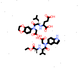 CC(C)C[C@H](NC(CCC(=O)O)C(=O)O)C(=O)N(CC(=O)O)c1ccc2c(c1)OCCO2.CCOC(=O)[C@H](C)N[C@H](C(=O)N(CC(=O)O)c1ccc2[nH]ccc2c1)C(C)C